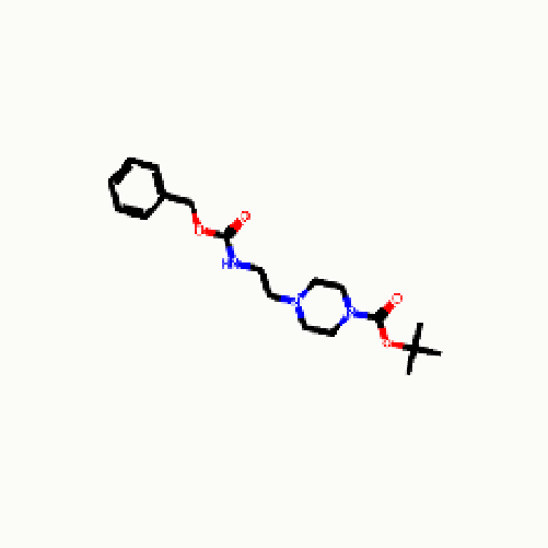 CC(C)(C)OC(=O)N1CCN(CCNC(=O)OCc2ccccc2)CC1